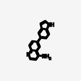 Nc1ccnc2ccc(-c3ccc4[nH]ccc4c3)cc12